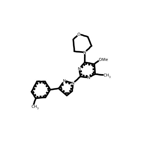 COc1c(C)nc(-n2ccc(-c3cccc(C)c3)n2)nc1N1CCOCC1